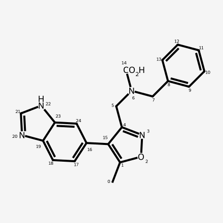 Cc1onc(CN(Cc2ccccc2)C(=O)O)c1-c1ccc2nc[nH]c2c1